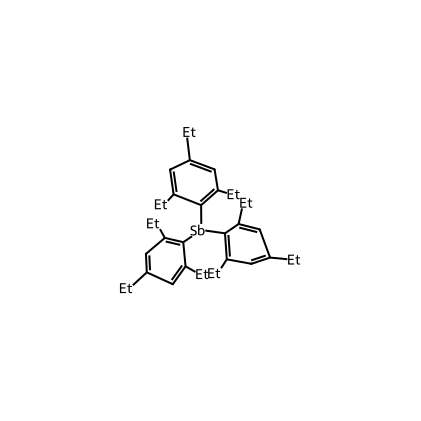 CCc1cc(CC)[c]([Sb]([c]2c(CC)cc(CC)cc2CC)[c]2c(CC)cc(CC)cc2CC)c(CC)c1